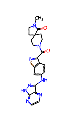 CN1CCC2(CCN(C(=O)c3nsc4cc(Nc5n[nH]c6nccnc56)ccc34)CC2)C1=O